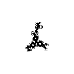 C=C(C)C(=O)OCCOC(=O)c1ccc(C(=C2C=CC(=[N+](CC)CC)C=C2)c2ccc(N(CC)CC)cc2)cc1